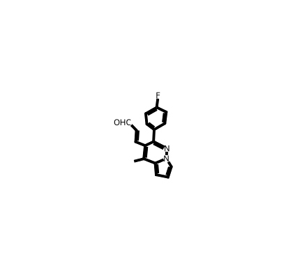 Cc1c(/C=C/C=O)c(-c2ccc(F)cc2)nn2cccc12